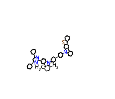 CC12CCCCC1(C)N(c1ccc(-c3ccc(-n4c5ccccc5c5cc6c(cc54)sc4ccccc46)cc3)cc1)c1ccc(-c3nc(-c4ccccc4)cc(-c4ccccc4)n3)cc12